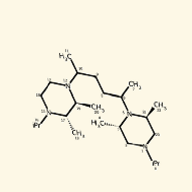 CC(C)N1C[C@H](C)N(C(C)CCC(C)N2CCN(C(C)C)[C@@H](C)[C@@H]2C)[C@@H](C)C1